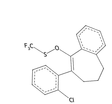 FC(F)(F)SOC1=C(c2ccccc2Cl)CCCc2ccccc21